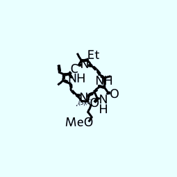 C=Cc1c(C)c2cc3nc(c4c5[nH]c(cc6nc(cc1[nH]2)C(C)=C6CC)c(C)c5C(=O)NC4=O)[C@@H](CCCOC)[C@@H]3C